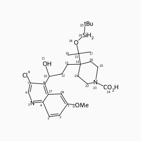 COc1ccc2ncc(Cl)c(C(O)CCC3(C(C)(C)O[SiH2]C(C)(C)C)CCN(C(=O)O)CC3)c2c1